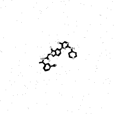 CC(NC(=O)CN1Cc2ccc(-c3nc(NC4CCOCC4)ncc3Cl)cc2C1=O)c1cccc(C#N)c1